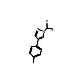 Cc1ccc(-c2cnn(C(F)F)c2)cc1